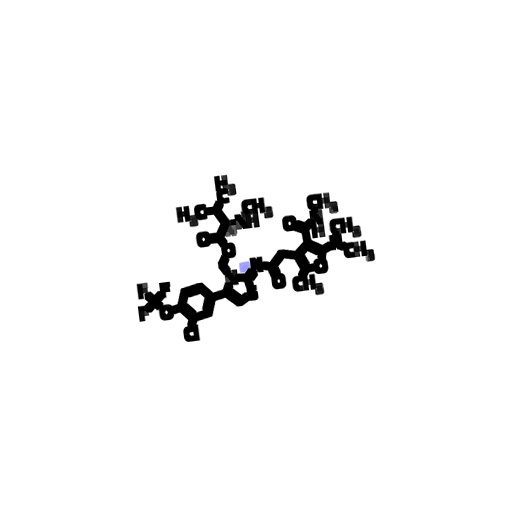 CNC(=O)c1c(N(C)C)oc(C)c1CC(=O)/N=c1\scc(-c2ccc(OC(F)(F)F)c(Cl)c2)n1COC(=O)[C@@H](NC)C(C)C